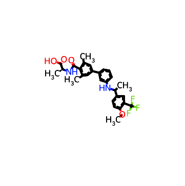 COc1ccc(C(C)Nc2cccc(-c3cc(C)c(C(=O)N[C@@H](C)C(=O)O)c(C)c3)c2)cc1C(F)(F)F